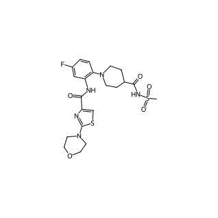 CS(=O)(=O)NC(=O)C1CCN(c2ccc(F)cc2NC(=O)c2csc(N3CCOCC3)n2)CC1